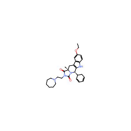 CCOc1ccc2[nH]c3c(c2c1)C[C@@]1(C)C(=O)N(CCN2CCCCCC2)C(=O)N1[C@@H]3C1C=CC=CC1